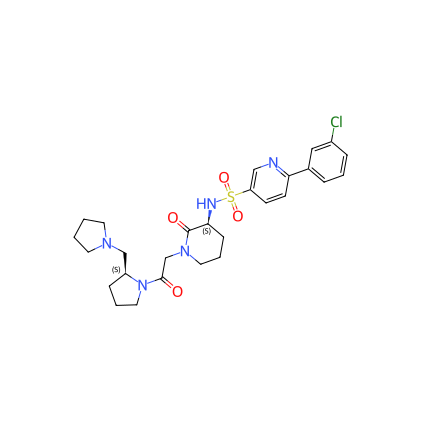 O=C1[C@@H](NS(=O)(=O)c2ccc(-c3cccc(Cl)c3)nc2)CCCN1CC(=O)N1CCC[C@H]1CN1CCCC1